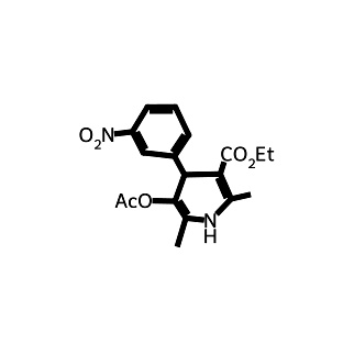 CCOC(=O)C1=C(C)NC(C)=C(OC(C)=O)C1c1cccc([N+](=O)[O-])c1